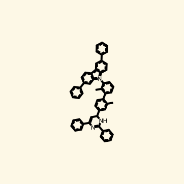 Cc1cc(C2C=C(c3ccccc3)N=C(c3ccccc3)N2)ccc1-c1cccc(-n2c3ccc(-c4ccccc4)cc3c3ccc(-c4ccccc4)cc32)c1C